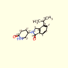 CC(C)c1cccc2c1CN(C1CCC(=O)NC1)C2=O